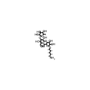 CC1O[C@@H](OC2[C@H](O)C(CO)O[C@@H](O[C@@H]3C(CO)O[C@H](OCCCCCN)C(O)[C@H]3O)[C@H]2O)[C@@H](O)C(O)[C@H]1O